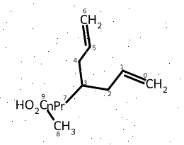 C=CCC(CC=C)CCC.CC(=O)O